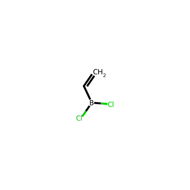 C=CB(Cl)Cl